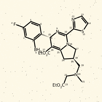 Bc1cc(F)ccc1[C@@H]1N=C(c2nccs2)N2C[C@@H](CN(C)CC(=O)OCC)CC2=C1C(=O)OCC